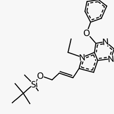 CCn1c(/C=C/CO[Si](C)(C)C(C)(C)C)cc2ncnc(Oc3ccccc3)c21